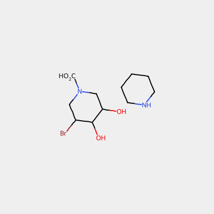 C1CCNCC1.O=C(O)N1CC(O)C(O)C(Br)C1